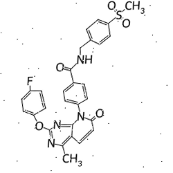 Cc1nc(Oc2ccc(F)cc2)nc2c1ccc(=O)n2-c1ccc(C(=O)NCc2ccc(S(C)(=O)=O)cc2)cc1